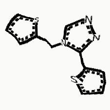 c1csc(Cn2cnnc2-c2cccs2)c1